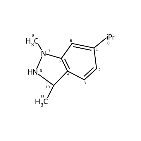 CC(C)c1ccc2c(c1)N(C)NC2C